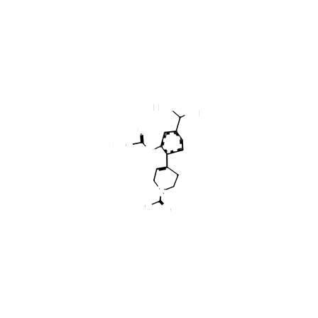 CC(=O)Oc1cc(C(C)C)ccc1C1=CCN(C(C)=O)CC1